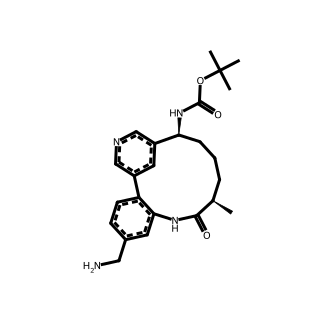 C[C@@H]1CCC[C@H](NC(=O)OC(C)(C)C)c2cncc(c2)-c2ccc(CN)cc2NC1=O